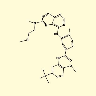 COCCN(C)c1ncc2ncnc(Nc3cc(C(=O)Nc4cc(C(C)(C)C)ccc4OC)ccc3C)c2n1